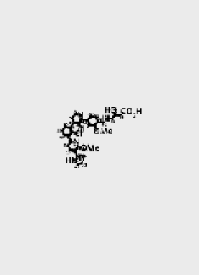 COc1cc(-c2nccc(-c3cccc(-c4ccc(C5=NCCN5)c(OC)n4)c3Cl)c2Cl)ccc1CNC[C@@H](O)CC(=O)O